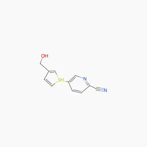 N#Cc1ccc([SH]2C=CC(CO)=C2)cn1